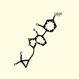 O=C(O)c1ccc(-c2ccn3c(CC4CC4(F)F)nnc3c2Br)c(Cl)c1